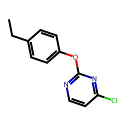 CCc1ccc(Oc2nccc(Cl)n2)cc1